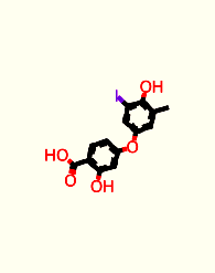 Cc1cc(Oc2ccc(C(=O)O)c(O)c2)cc(I)c1O